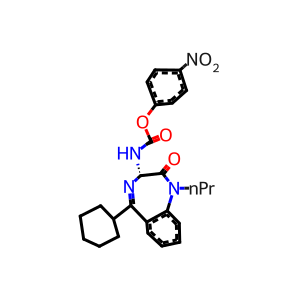 CCCN1C(=O)[C@@H](NC(=O)Oc2ccc([N+](=O)[O-])cc2)N=C(C2CCCCC2)c2ccccc21